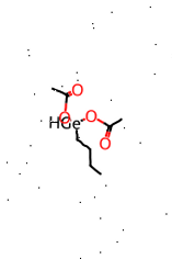 CCC[CH2][GeH]([O]C(C)=O)[O]C(C)=O